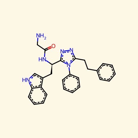 NCC(=O)N[C@H](Cc1c[nH]c2ccccc12)c1nnc(CCc2ccccc2)n1-c1ccccc1